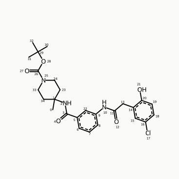 CC1(NC(=O)c2cccc(NC(=O)Cc3cc(Cl)ccc3O)c2)CCN(C(=O)OC(C)(C)C)CC1